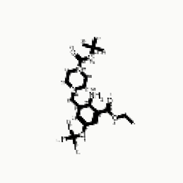 CCOC(=O)C1=CC(OC(F)(F)F)=CC(CN2CCN(C(=O)OC(C)(C)C)CC2)C1N